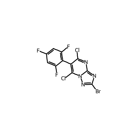 Fc1cc(F)c(-c2c(Cl)nc3nc(Br)nn3c2Cl)c(F)c1